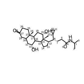 CC(C)NC(=O)CC[C@@H](C1CC1)[C@H]1CCC2C3C(C[C@H](O)[C@@]21C)[C@@]1(C)CCC(=O)CC1C[C@H]3O